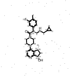 Cc1ccc([C@@H](CNCC2CC2)C(=O)N2CCN(c3ncnc4c3[C@H](C)C[C@@H]4O)CC2)cc1F